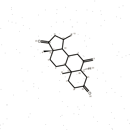 C=C1CC2C(CC[C@]3(C)C(=O)CC(F)C23)C2(C)CCC(=O)C[C@H]12